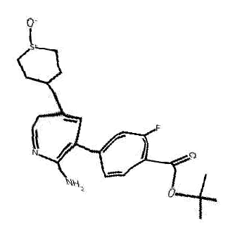 CC(C)(C)OC(=O)c1ccc(-c2cc(C3CC[S+]([O-])CC3)cnc2N)cc1F